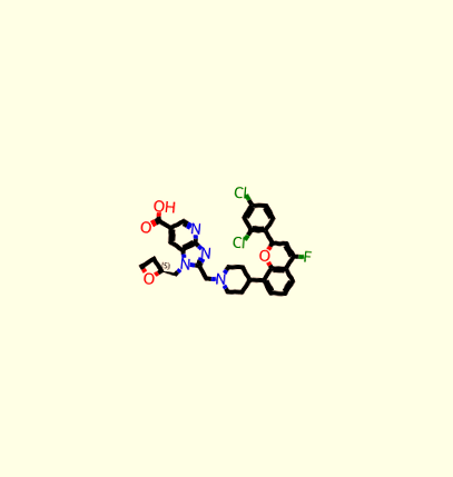 O=C(O)c1cnc2nc(CN3CCC(c4cccc5c4OC(c4ccc(Cl)cc4Cl)C=C5F)CC3)n(C[C@@H]3CCO3)c2c1